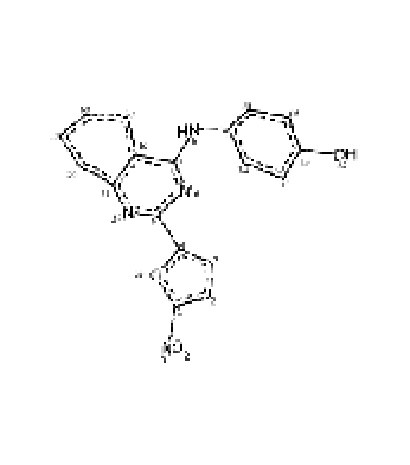 O=[N+]([O-])c1ccc(-c2nc(Nc3ccc(O)cc3)c3ccccc3n2)o1